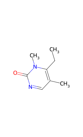 CCc1c(C)cnc(=O)n1C